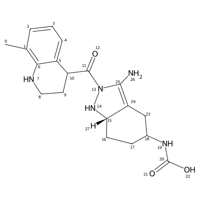 Cc1cccc2c1NCCC2C(=O)N1N[C@H]2CCC(NC(=O)O)CC2=C1N